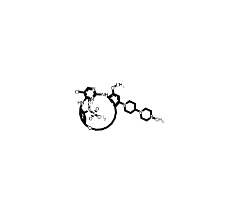 COc1cc(N2CCC(N3CCN(C)CC3)CC2)c2cc1Nc1ncc(Cl)c(n1)Nc1ccc(cc1N(C)S(C)(=O)=O)OCCCCCC2